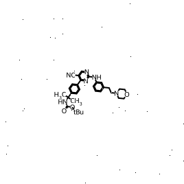 CC(C)(C)OC(=O)NC(C)(C)c1ccc(-c2nc(Nc3cccc(CCN4CCOCC4)c3)ncc2C#N)cc1